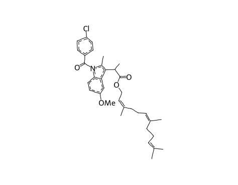 COc1ccc2c(c1)c(C(C)C(=O)OCC=C(C)CCC=C(C)CCC=C(C)C)c(C)n2C(=O)c1ccc(Cl)cc1